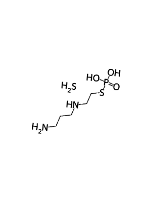 NCCCNCCSP(=O)(O)O.S